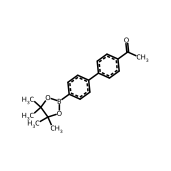 CC(=O)c1ccc(-c2ccc(B3OC(C)(C)C(C)(C)O3)cc2)cc1